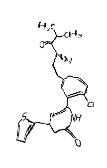 CC(C)C(=O)NCc1ccc(Cl)c(C2=NC(c3cccs3)CC(=O)N2)c1